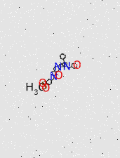 CS(=O)(=O)c1ccc(CN2CCC3(CCN(C[C@H]4CN(CC5CCOCC5)CC4c4ccccc4)CC3)C2=O)cc1